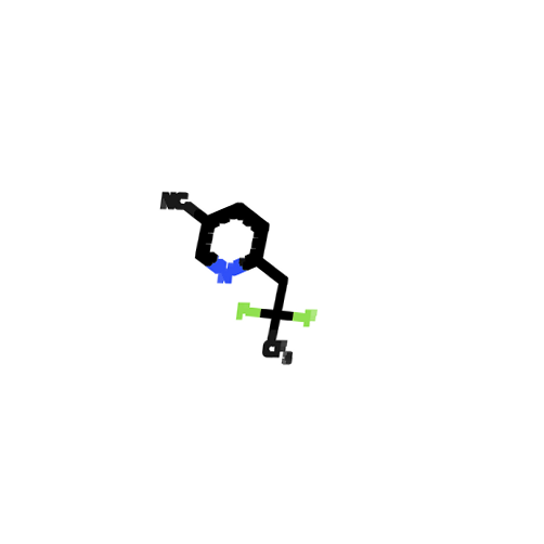 N#Cc1ccc(CC(F)(F)C(F)(F)F)nc1